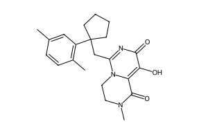 Cc1ccc(C)c(C2(Cc3nc(=O)c(O)c4n3CCN(C)C4=O)CCCC2)c1